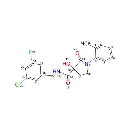 N#Cc1ccccc1N1CCC(O)(C(=O)NCc2cc(F)cc(Cl)c2)C1=O